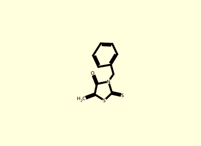 C=C1SC(=S)N(Cc2ccccc2)C1=O